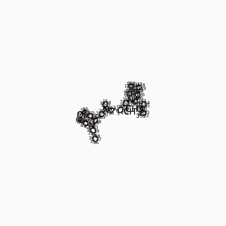 CC1(C)c2ccc(-c3ccc4c(c3)c3ccccc3n4-c3ccc(-c4ccc(N(c5ccc(-c6ccccc6)cc5)c5cccc6c5-c5ccccc5C65c6ccccc6Oc6ccccc65)cc4)cc3)cc2-c2ccc(N(c3ccc(-c4cccc5c4oc4ccccc45)cc3)c3cccc4c3-c3ccccc3C43c4ccccc4-c4ccccc43)cc21